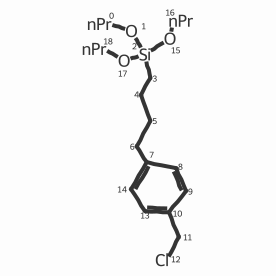 CCCO[Si](CCCCc1ccc(CCl)cc1)(OCCC)OCCC